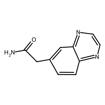 NC(=O)Cc1ccc2nccnc2c1